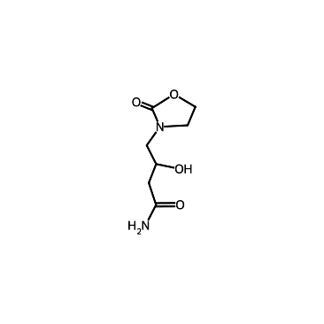 NC(=O)CC(O)CN1CCOC1=O